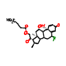 C[C@@H]1CC2C3C[C@H](F)C4=CC(=O)C=C[C@]4(C)C3[C@@H](O)C[C@]2(C)[C@H]1C(=O)COC(=O)CCC(=O)O